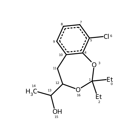 CCC1(CC)Oc2c(Cl)cccc2CC(C(C)O)O1